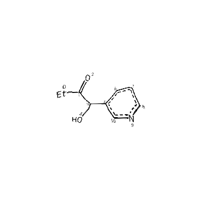 CCC(=O)C(O)c1cccnc1